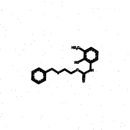 O=C(Nc1cccc(C(=O)O)c1O)OCCSCc1ccccc1